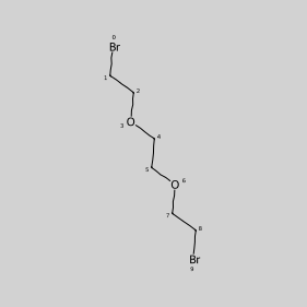 BrCCOCCOCCBr